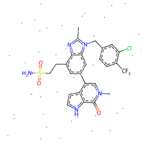 Cc1nc2c(CCS(N)(=O)=O)cc(-c3cn(C)c(=O)c4[nH]ccc34)cc2n1Cc1ccc(C(F)(F)F)c(Cl)c1